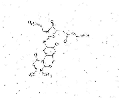 C#CCOC(=O)CC1S/C(=N\c2cc(-n3c(=O)cc(C(F)(F)F)n(C)c3=O)c(F)cc2Cl)N(CC=C)C1=O